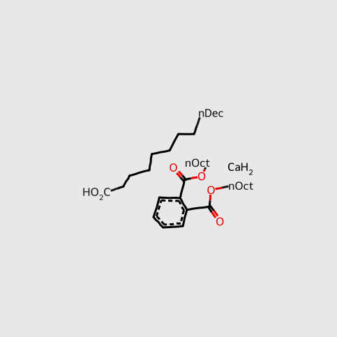 CCCCCCCCCCCCCCCCCC(=O)O.CCCCCCCCOC(=O)c1ccccc1C(=O)OCCCCCCCC.[CaH2]